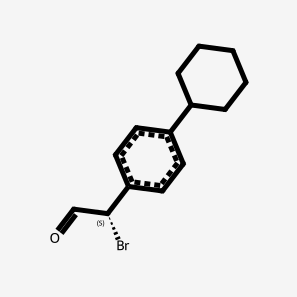 O=C[C@@H](Br)c1ccc(C2CCCCC2)cc1